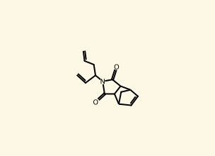 C=CCC(C=C)N1C(=O)C2C3C=CC(C3)C2C1=O